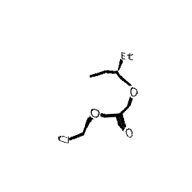 CC[C@H](C)OC(=O)OCCl